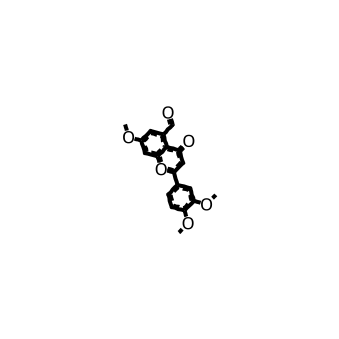 COc1cc(C=O)c2c(=O)cc(-c3ccc(OC)c(OC)c3)oc2c1